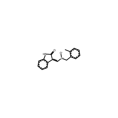 Cc1ccccc1C[S+]([O-])C=C1C(=O)Nc2ccccc21